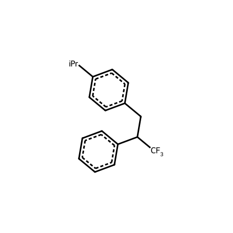 CC(C)c1ccc(CC(c2ccccc2)C(F)(F)F)cc1